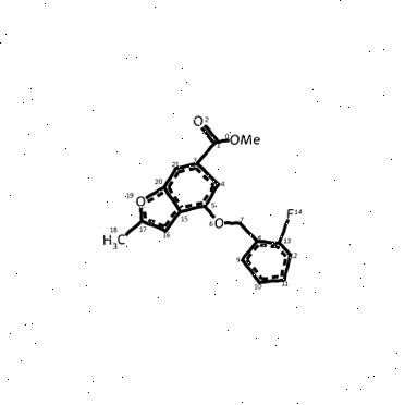 COC(=O)c1cc(OCc2ccccc2F)c2cc(C)oc2c1